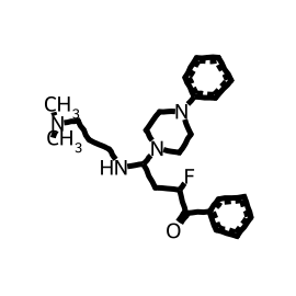 CN(C)CCCNC(CC(F)C(=O)c1ccccc1)N1CCN(c2ccccc2)CC1